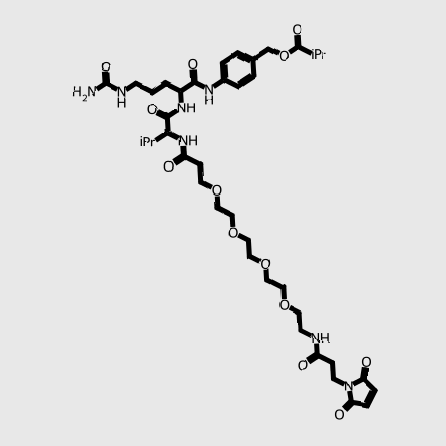 CC(C)C(=O)OCc1ccc(NC(=O)C(CCCNC(N)=O)NC(=O)C(NC(=O)CCOCCOCCOCCOCCNC(=O)CCN2C(=O)C=CC2=O)C(C)C)cc1